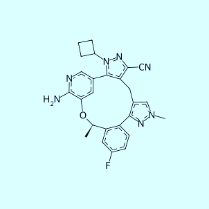 C[C@H]1Oc2cc(cnc2N)-c2c(c(C#N)nn2C2CCC2)Cc2cn(C)nc2-c2ccc(F)cc21